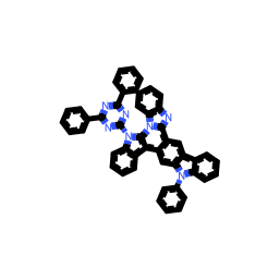 c1ccc(-c2nc(-c3ccccc3)nc(-n3c4ccccc4c4c5cc6c(cc5c5nc7ccccc7n5c43)c3ccccc3n6-c3ccccc3)n2)cc1